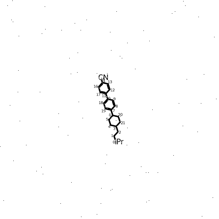 CC(C)CCC1CCC(c2ccc(-c3ccc(C#N)cc3)cc2)CC1